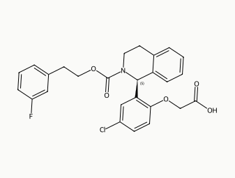 O=C(O)COc1ccc(Cl)cc1[C@@H]1c2ccccc2CCN1C(=O)OCCc1cccc(F)c1